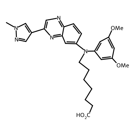 COc1cc(OC)cc(N(CCCCCCC(=O)O)c2ccc3ncc(-c4cnn(C)c4)nc3c2)c1